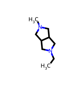 CCN1CC2CN(C)CC2C1